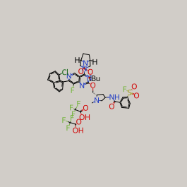 CN1C[C@H](NC(=O)c2cccc(S(=O)(=O)F)c2)C[C@H]1COc1nc(N2C[C@H]3CC[C@@H](C2)N3C(=O)OC(C)(C)C)c2cnc(-c3cccc4cccc(Cl)c34)c(F)c2n1.O=C(O)C(F)(F)F.O=C(O)C(F)(F)F